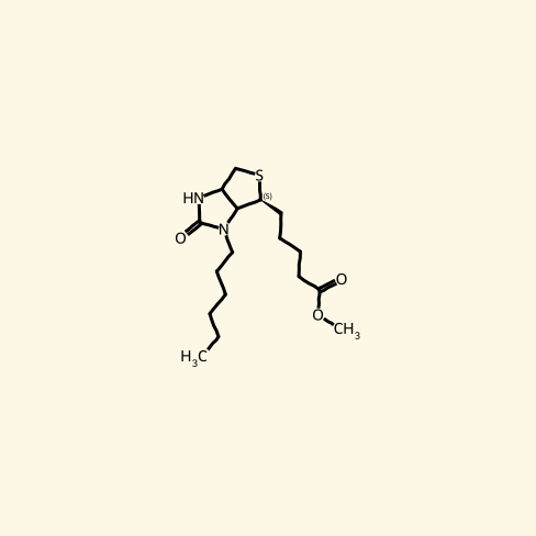 CCCCCCN1C(=O)NC2CS[C@@H](CCCCC(=O)OC)C21